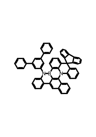 c1ccc(-c2cc(-c3ccccc3)cc(N3B4c5cccc6c5N(c5ccccc5C65c6ccccc6-c6ccccc65)c5c4c(cc4ccccc54)-c4ccccc43)c2)cc1